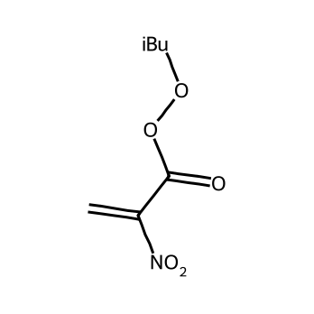 C=C(C(=O)OOC(C)CC)[N+](=O)[O-]